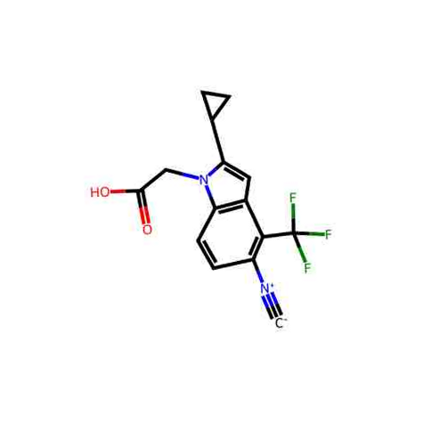 [C-]#[N+]c1ccc2c(cc(C3CC3)n2CC(=O)O)c1C(F)(F)F